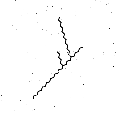 CCCCCCCCCCCCCCCC(C[CH]CC(CCCCC)CCCCCCCCCCCCCC)CCCCC